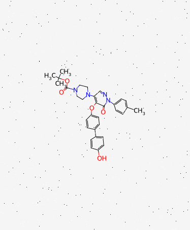 Cc1ccc(-n2ncc(N3CCN(C(=O)OC(C)(C)C)CC3)c(Oc3ccc(-c4ccc(O)cc4)cc3)c2=O)cc1